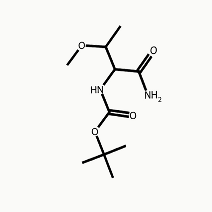 COC(C)C(NC(=O)OC(C)(C)C)C(N)=O